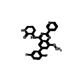 COc1cc(-c2cc(F)ccc2F)cc2c(NC3CCCNC3=O)nc(-c3cccnc3)nc12